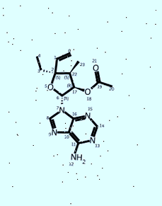 C=C[C@]1(CC)O[C@@H](n2cnc3c(N)ncnc32)[C@H](OC(C)=O)[C@@H]1C